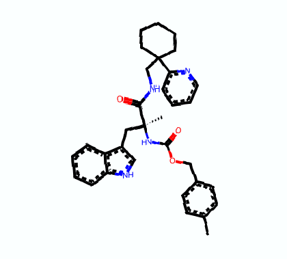 Cc1ccc(COC(=O)N[C@@](C)(Cc2c[nH]c3ccccc23)C(=O)NCC2(c3ccccn3)CCCCC2)cc1